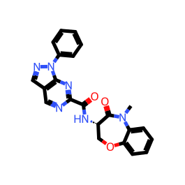 CN1C(=O)[C@@H](NC(=O)c2ncc3cnn(-c4ccccc4)c3n2)COc2ccccc21